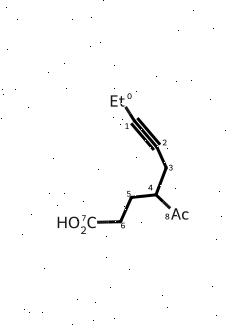 CCC#CCC(CCC(=O)O)C(C)=O